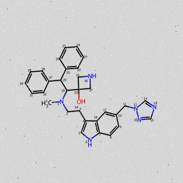 CN(CCc1c[nH]c2ccc(Cn3cncn3)cc12)C(C(c1ccccc1)c1ccccc1)C1(O)CNC1